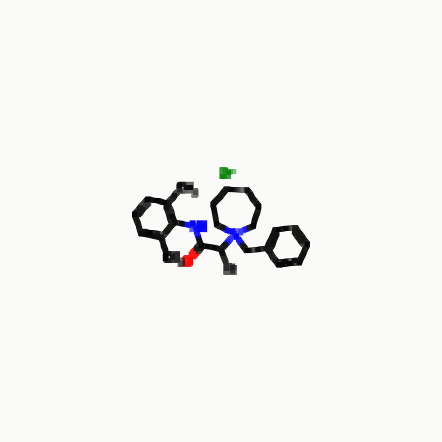 CCC(C(=O)Nc1c(C)cccc1C)[N+]1(Cc2ccccc2)CCCCCC1.[Br-]